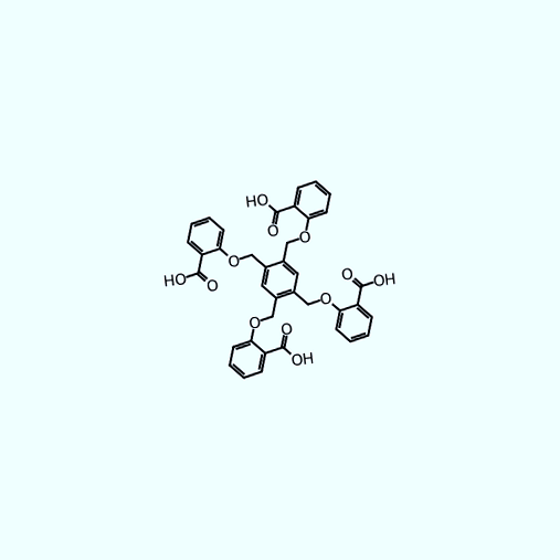 O=C(O)c1ccccc1OCc1cc(COc2ccccc2C(=O)O)c(COc2ccccc2C(=O)O)cc1COc1ccccc1C(=O)O